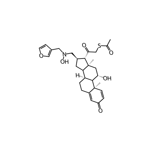 CC(=O)SCC(=O)[C@H]1[C@H](CN(O)Cc2ccoc2)CC2[C@@H]3CCC4=CC(=O)C=C[C@]4(C)C3[C@@H](O)C[C@@]21C